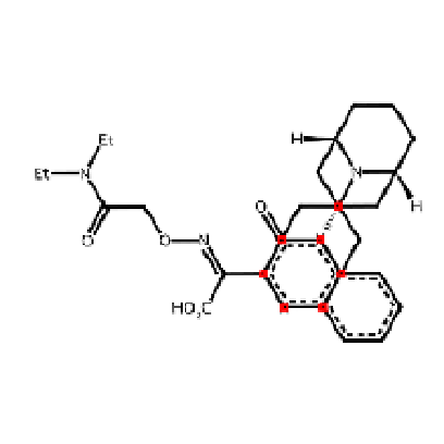 CCN(CC)C(=O)CO/N=C(\C(=O)O)c1nc2ccccc2n([C@H]2C[C@H]3CCC[C@@H](C2)N3C2CC3CCCC(C3)C2)c1=O